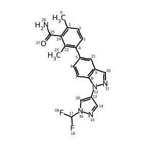 Cc1ccc(-c2ccc3c(cnn3-c3cnn(C(F)F)c3)c2)c(C)c1C(N)=O